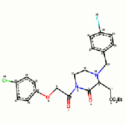 CCOC(=O)CC1C(=O)N(C(=O)COc2ccc(Cl)cc2)CCN1Cc1ccc(F)cc1